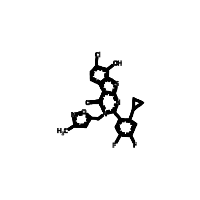 Cc1cc(Cn2c(-c3cc(F)c(F)cc3C3CC3)nc3sc4c(O)c(Cl)ccc4c3c2=O)on1